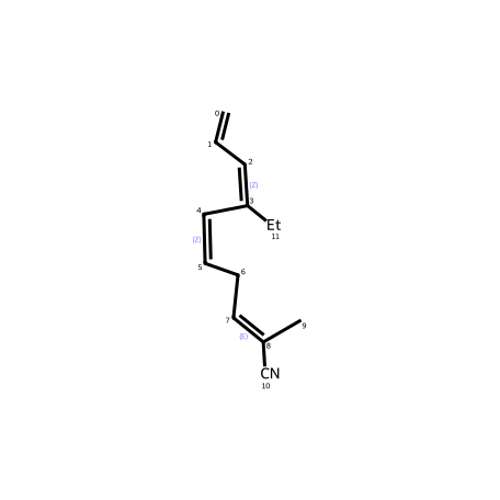 C=C/C=C(\C=C/C/C=C(\C)C#N)CC